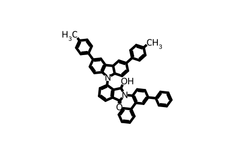 Cc1ccc(C2=CC3c4cc(-c5ccc(C)cc5)ccc4N(c4cccc5c4C(O)N(c4ccc(-c6ccccc6)cc4-c4ccccc4)C5=O)C3C=C2)cc1